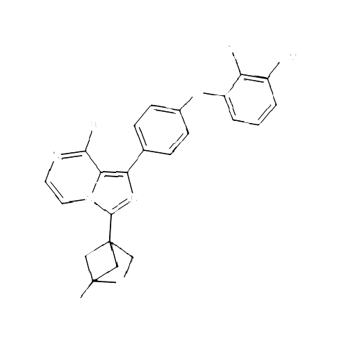 CCC12CC(c3nc(-c4ccc(Oc5cccc(OC)c5F)cc4)c4c(N)nccn34)(CO1)C2